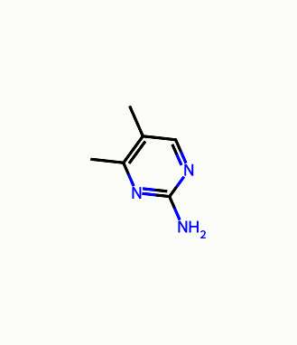 Cc1cnc(N)nc1C